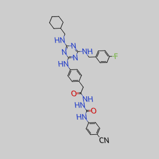 N#Cc1ccc(NC(=O)NNC(=O)Cc2ccc(Nc3nc(NCc4ccc(F)cc4)nc(NCC4CCCCC4)n3)cc2)cc1